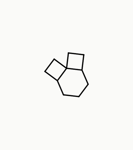 C1CC2CCC23CCC3C1